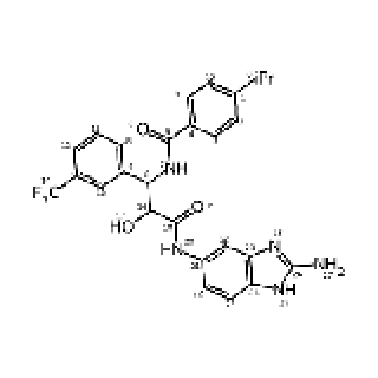 CC(C)c1ccc(C(=O)NC(c2cccc(C(F)(F)F)c2)C(O)C(=O)Nc2ccc3[nH]c(N)nc3c2)cc1